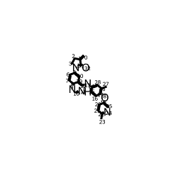 C=C1CCN(c2ccc3ncnc(Nc4ccc(Oc5ccc(C)nc5)c(C)c4)c3c2)C1=O